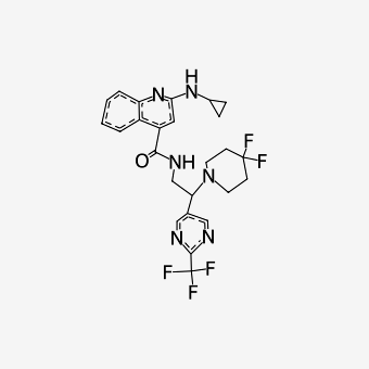 O=C(NCC(c1cnc(C(F)(F)F)nc1)N1CCC(F)(F)CC1)c1cc(NC2CC2)nc2ccccc12